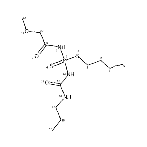 CCCCSP(=S)(NC(=O)COC)NC(=O)NCCC